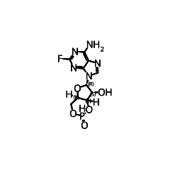 Nc1nc(F)nc2c1ncn2[C@@H]1O[C@@H]2CO[PH](=O)O[C@H]2[C@@H]1O